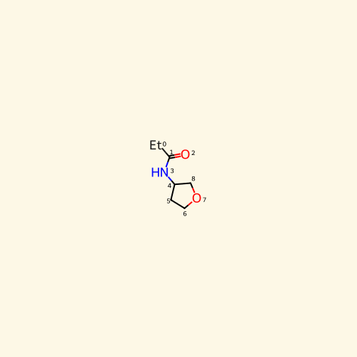 CCC(=O)NC1CCOC1